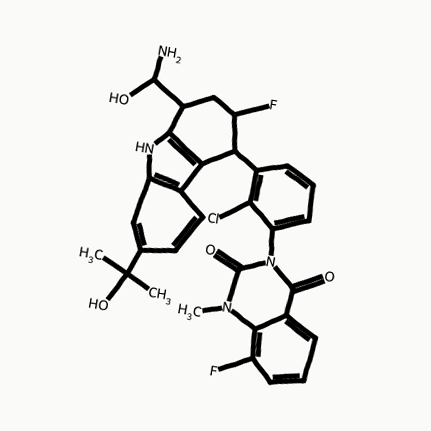 Cn1c(=O)n(-c2cccc(C3c4c([nH]c5cc(C(C)(C)O)ccc45)C(C(N)O)CC3F)c2Cl)c(=O)c2cccc(F)c21